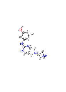 COc1cc(C)cc(Nc2ncc3c(n2)CN(C2CNC2)C3)c1